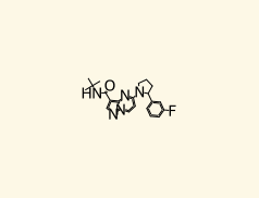 CC(C)(C)NC(=O)c1cnn2ccc(N3CCCC3c3cccc(F)c3)nc12